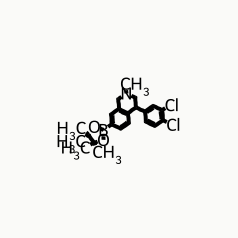 CN1Cc2cc(B3OC(C)(C)C(C)(C)O3)ccc2C(c2ccc(Cl)c(Cl)c2)C1